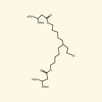 CCCCCCCCC(CCCCCC)CC(=O)OCCCCCN(CCCl)CCCCCOC(=O)CC(CCCCCC)CCCCCCCC